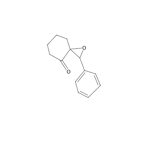 O=C1CCCCC12OC2c1ccccc1